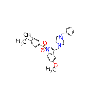 COc1ccc2c(c1)c(CN1CCN(Cc3ccccc3)CC1)cn2S(=O)(=O)c1ccc(C(C)C)cc1